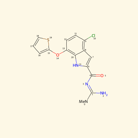 CNC(N)=NC(=O)c1cc2c(Cl)ccc(Oc3cccs3)c2[nH]1